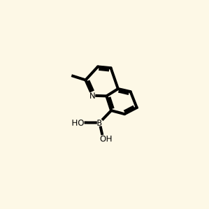 Cc1ccc2cccc(B(O)O)c2n1